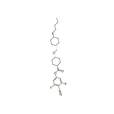 CCCCC[C@H]1CC[C@H](CO[C@H]2CC[C@H](C(=O)Oc3cc(F)c(C#N)c(F)c3)CC2)CC1